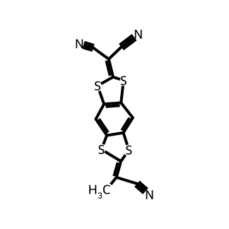 CC(C#N)=C1Sc2cc3c(cc2S1)SC(=C(C#N)C#N)S3